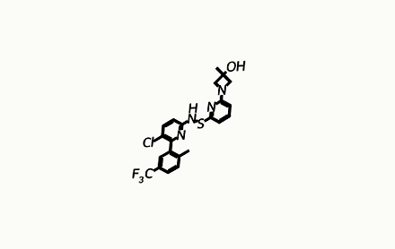 Cc1ccc(C(F)(F)F)cc1-c1nc(NSc2cccc(N3CC(C)(O)C3)n2)ccc1Cl